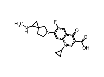 CNC1CC12CCN(c1cc3c(cc1F)c(=O)c(C(=O)O)cn3C1CC1)C2